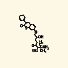 CC(C)(C)C(C(=O)CCC(O)COC1=CC2SC(=O)C(c3ccccc3)=CC2C=C1)C(C)(C)N